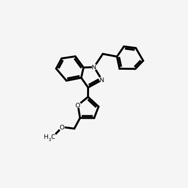 COCc1ccc(-c2nn(Cc3ccccc3)c3ccccc23)o1